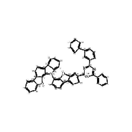 c1ccc(C2=NC(c3cccc(-c4ccccc4)c3)=NC(c3ccc4c(c3)oc3c(-n5c6ccccc6c6ccc7c8ccccc8oc7c65)cccc34)N2)cc1